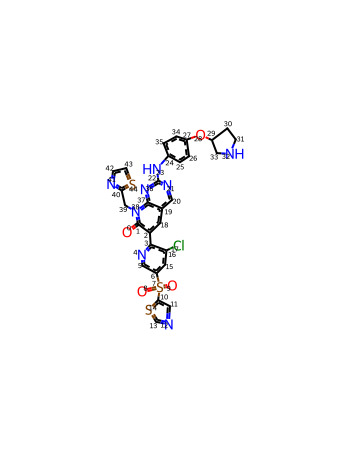 O=c1c(-c2ncc(S(=O)(=O)c3cncs3)cc2Cl)cc2cnc(Nc3ccc(OC4CCNC4)cc3)nc2n1Cc1nccs1